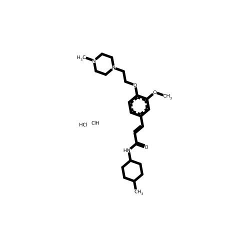 COc1cc(C=CC(=O)NC2CCC(C)CC2)ccc1OCCN1CCN(C)CC1.Cl.Cl